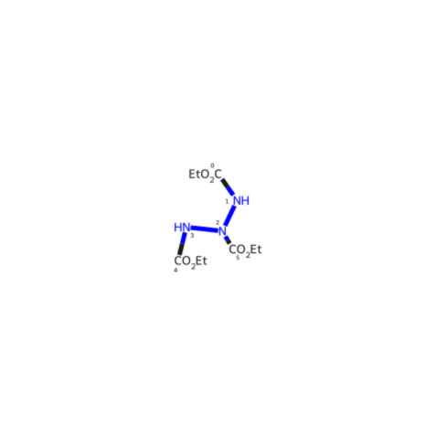 CCOC(=O)NN(NC(=O)OCC)C(=O)OCC